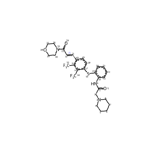 O=C(CN1CCCCC1)Nc1ccccc1Sc1ccc(/C=C/C(=O)N2CCOCC2)c(C(F)(F)F)c1C(F)(F)F